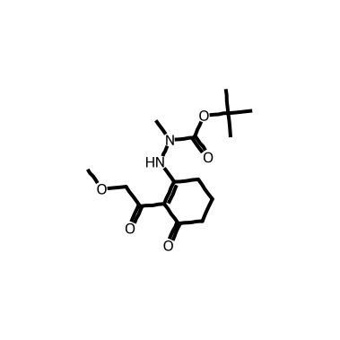 COCC(=O)C1=C(NN(C)C(=O)OC(C)(C)C)CCCC1=O